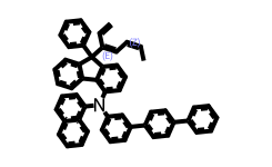 C=C/C(=C\C=C/C)C1(c2ccccc2)c2ccccc2-c2c(N(c3cccc(-c4ccc(-c5ccccc5)cc4)c3)c3cccc4ccccc34)cccc21